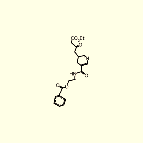 CCOC(=O)CC(=O)CC1C=NC=C(C(=O)NCCOC(=O)c2ccccc2)C1